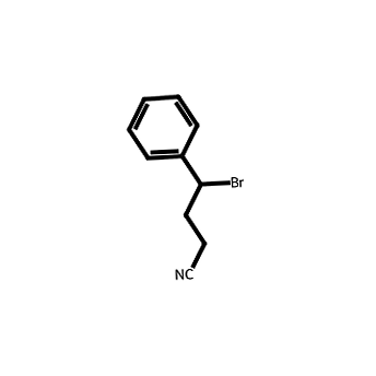 N#CCCC(Br)c1ccccc1